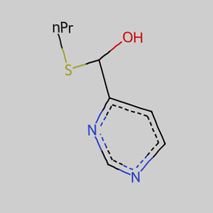 CCCSC(O)c1ccncn1